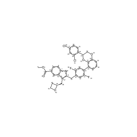 COC(=O)c1ccc2nc(Cc3cc(F)c(-c4cccc5c4OC(c4ccc(Cl)cc4Cl)CO5)cc3F)n(C[C@@H]3CCO3)c2c1